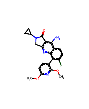 COc1ccc(-c2c(F)ccc3c(N)c4c(nc23)CN(C2CC2)C4=O)c(OC)n1